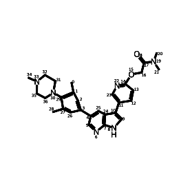 Cc1cc(-c2cnc3[nH]cc(-c4ccc(OCC(=O)N(C)C)nc4)c3c2)cc(C)c1N1CCN(C)CC1